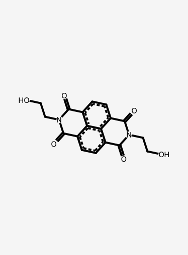 O=C1c2ccc3c4c(ccc(c24)C(=O)N1CCO)C(=O)N(CCO)C3=O